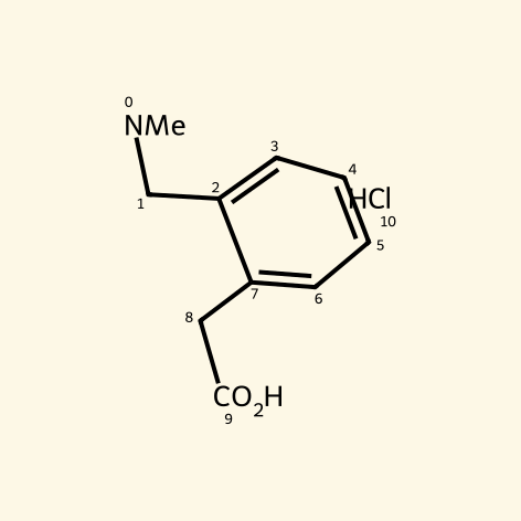 CNCc1ccccc1CC(=O)O.Cl